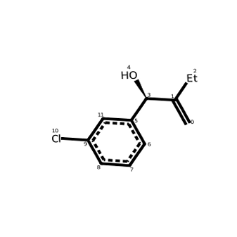 C=C(CC)[C@H](O)c1cccc(Cl)c1